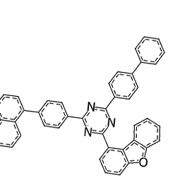 c1ccc(-c2ccc(-c3nc(-c4ccc(-c5cccc6ccccc56)cc4)nc(-c4cccc5oc6ccccc6c45)n3)cc2)cc1